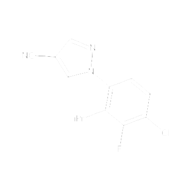 CC(C)c1c(-n2cc(C#N)cn2)ccc(Cl)c1F